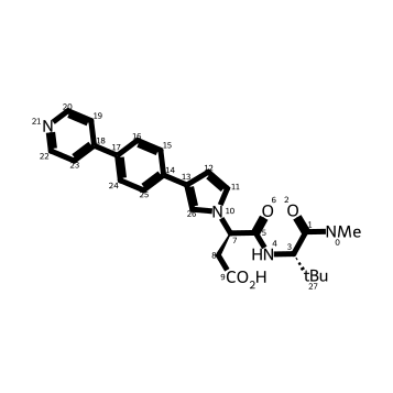 CNC(=O)[C@@H](NC(=O)[C@@H](CC(=O)O)n1ccc(-c2ccc(-c3ccncc3)cc2)c1)C(C)(C)C